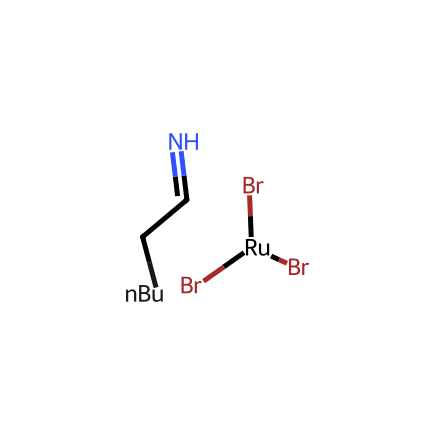 CCCCCC=N.[Br][Ru]([Br])[Br]